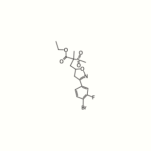 CCOC(=O)C(C)(CC1CC(c2ccc(Br)c(F)c2)=NO1)S(C)(=O)=O